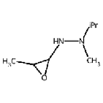 CC1OC1NN(C)C(C)C